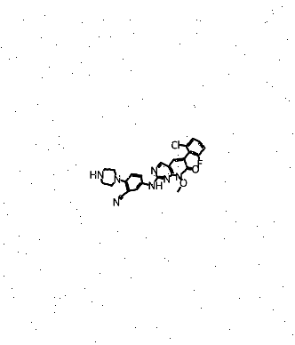 COn1c(=O)c(-c2c(F)cccc2Cl)cc2cnc(Nc3ccc(N4CCNCC4)c(C#N)c3)nc21